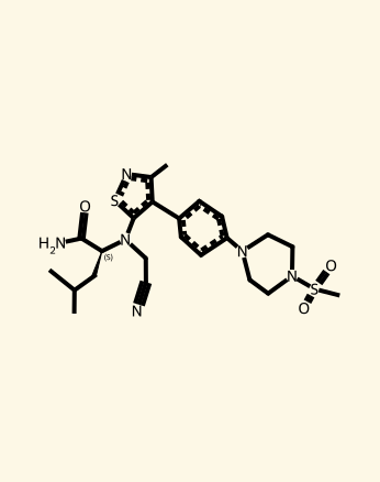 Cc1nsc(N(CC#N)[C@@H](CC(C)C)C(N)=O)c1-c1ccc(N2CCN(S(C)(=O)=O)CC2)cc1